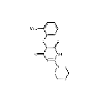 COc1ccccc1OC1C(=O)N=C(N2CCOCC2)NC1=O